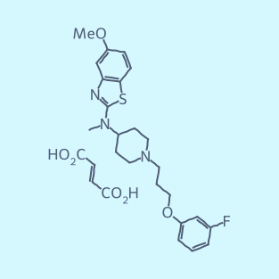 COc1ccc2sc(N(C)C3CCN(CCCOc4cccc(F)c4)CC3)nc2c1.O=C(O)C=CC(=O)O